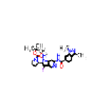 Cc1nn(C)c2cc(C(=O)Nc3cc4[nH]c([C@H]5CCCN5C(=O)OC(C)(C)C)c(I)c4cn3)ccc12